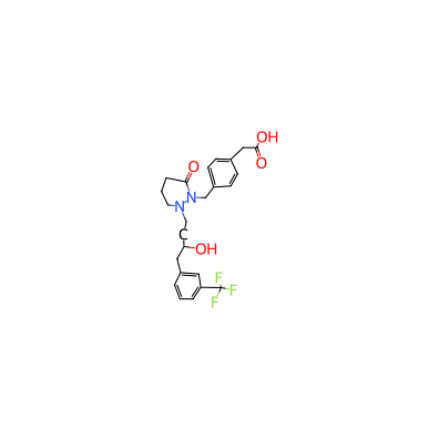 O=C(O)Cc1ccc(CN2C(=O)CCCN2CCC(O)Cc2cccc(C(F)(F)F)c2)cc1